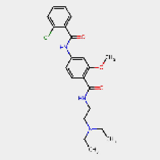 CCN(CC)CCNC(=O)c1ccc(NC(=O)c2ccccc2Cl)cc1OC